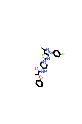 Cc1nn(-c2ccc(F)cc2)c2nc(N3CCC(NC(=O)C(C)Oc4ccccc4)CC3)sc12